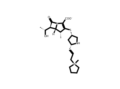 C[C@@H](O)[C@H]1C(=O)N2C(C(=O)[O-])=C(S[C@@H]3CN[C@H](/C=C/C[N+]4(C)CCCC4)C3)[C@H](C)[C@H]12